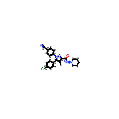 Cc1c(C(=O)NN2CCCCC2)nn(-c2ccc(C#N)cc2)c1-c1ccc(Cl)cc1